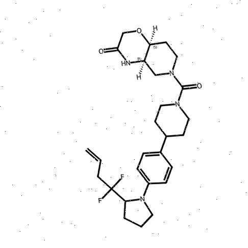 C=CCC(F)(F)C1CCCN1c1ccc(C2CCN(C(=O)N3CC[C@@H]4OCC(=O)N[C@@H]4C3)CC2)cc1